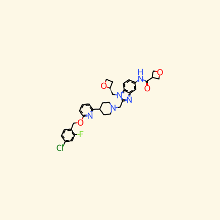 O=C(Nc1ccc2c(c1)nc(CN1CCC(c3cccc(OCc4ccc(Cl)cc4F)n3)CC1)n2C[C@@H]1CCO1)C1COC1